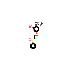 O=C(O)c1ccc(OCC[S+]([O-])c2ccccc2)cc1O